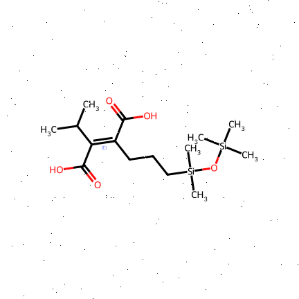 CC(C)/C(C(=O)O)=C(/CCC[Si](C)(C)O[Si](C)(C)C)C(=O)O